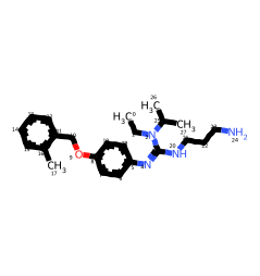 CCN(/C(=N\c1ccc(OCc2ccccc2C)cc1)NCCCN)C(C)C